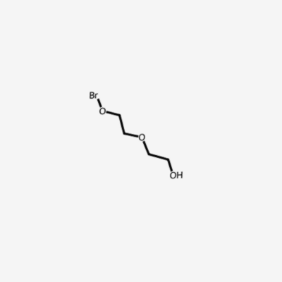 OCCOCCOBr